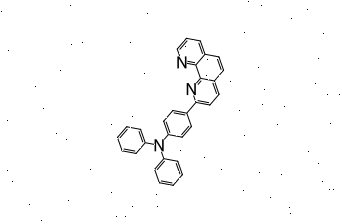 c1ccc(N(c2ccccc2)c2ccc(-c3ccc4ccc5cccnc5c4n3)cc2)cc1